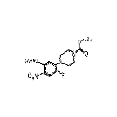 CNc1cc(N2CCN(C(=O)OC(C)(C)C)CC2)c(F)cc1[N+](=O)[O-]